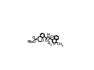 Cc1ncc(C(C)(C)NC(=O)c2cccc3c2OCCN(C(=O)OC(C)(C)C)C3)c2ccccc12